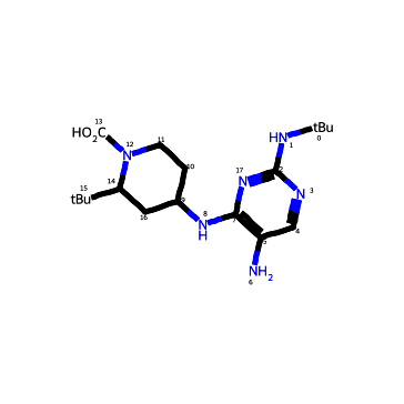 CC(C)(C)Nc1ncc(N)c(NC2CCN(C(=O)O)C(C(C)(C)C)C2)n1